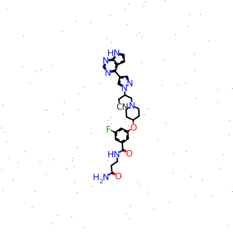 N#CCC(CN1CCC(Oc2cc(F)cc(C(=O)NCCC(N)=O)c2)CC1)n1cc(-c2ncnc3[nH]ccc23)cn1